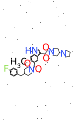 COc1cc2[nH]cc(C(=O)C(=O)N3CCC(N4CCCC4)CC3)c2cc1C(=O)N1CCC(Cc2ccc(F)cc2)CC1